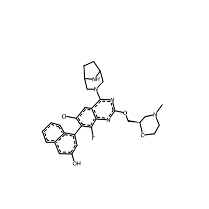 CN1CCO[C@@H](COc2nc(N3CC4CCC(C3)N4)c3cc(Cl)c(-c4cc(O)cc5ccccc45)c(F)c3n2)C1